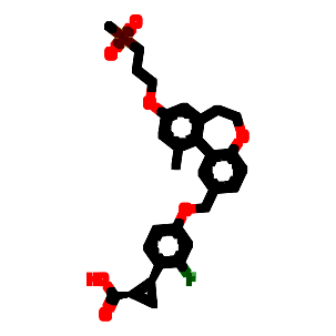 Cc1cc(OCCCS(C)(=O)=O)cc2c1-c1cc(COc3ccc([C@H]4C[C@@H]4C(=O)O)c(F)c3)ccc1OCC2